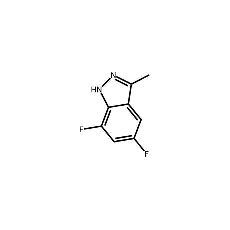 Cc1n[nH]c2c(F)cc(F)cc12